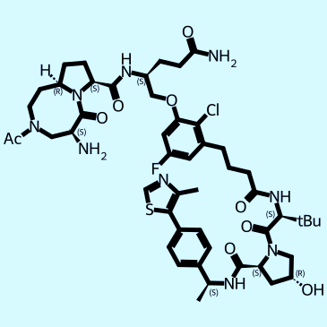 CC(=O)N1CC[C@H]2CC[C@@H](C(=O)N[C@@H](CCC(N)=O)COc3cc(F)cc(CCCC(=O)N[C@H](C(=O)N4C[C@H](O)C[C@H]4C(=O)N[C@@H](C)c4ccc(-c5scnc5C)cc4)C(C)(C)C)c3Cl)N2C(=O)[C@@H](N)C1